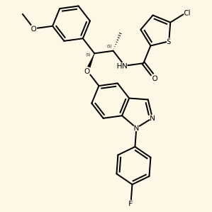 COc1cccc([C@H](Oc2ccc3c(cnn3-c3ccc(F)cc3)c2)[C@H](C)NC(=O)c2ccc(Cl)s2)c1